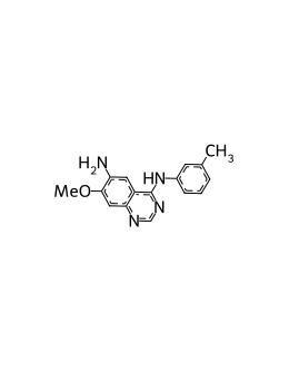 COc1cc2ncnc(Nc3cccc(C)c3)c2cc1N